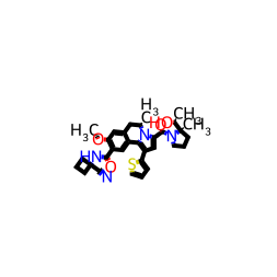 COc1cc2c(cc1C(=O)NC1(C#N)CCC1)-c1c(-c3cccs3)cc(C(=O)N3CCC[C@]3(C)[C@@H](C)O)n1[C@@H](C)C2